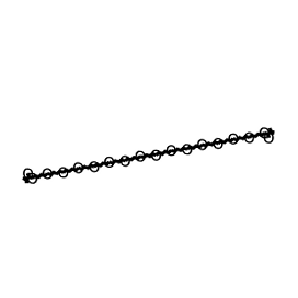 C=C(C)C(=O)OCCCCOCCCCOCCCCOCCCCOCCCCOCCCCOCCCCOCCCCOCCCCOCCCCOCCCCOCCCCOCCCCOCCCCOCCCCOC(=O)C(=C)C